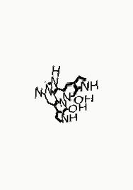 CN(C)CCc1c(-c2n[c][nH]c2-c2cc3cc[nH]c3c(O)n2)nc(O)c2[nH]ccc12